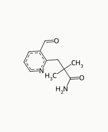 CC(C)(Cc1ncccc1C=O)C(N)=O